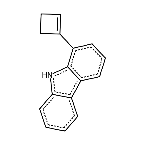 C1=C(c2cccc3c2[nH]c2ccccc23)CC1